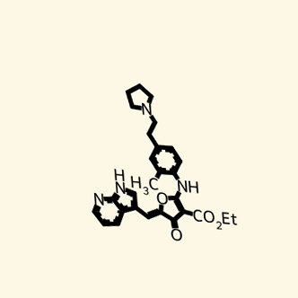 CCOC(=O)C1=C(Nc2ccc(CCN3CCCC3)cc2C)OC(=Cc2c[nH]c3ncccc23)C1=O